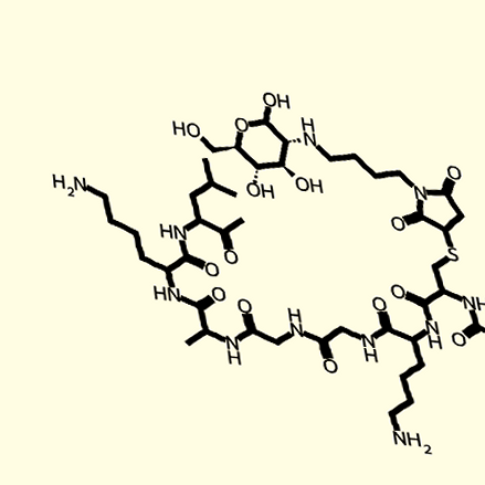 CC(=O)NC(CSC1CC(=O)N(CCCCN[C@H]2C(O)O[C@H](CO)[C@@H](O)[C@@H]2O)C1=O)C(=O)NC(CCCCN)C(=O)NCC(=O)NCC(=O)NC(C)C(=O)NC(CCCCN)C(=O)NC(CC(C)C)C(C)=O